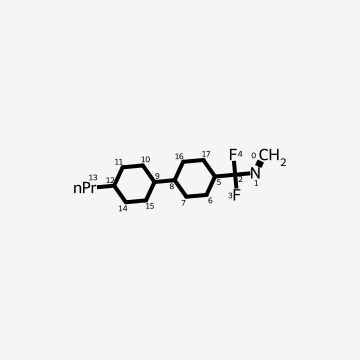 C=NC(F)(F)C1CCC(C2CCC(CCC)CC2)CC1